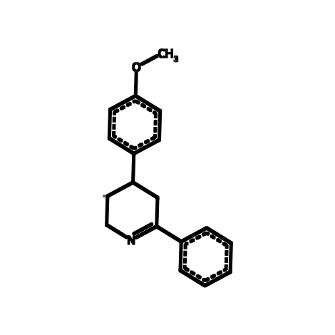 COc1ccc(C2[CH]CN=C(c3ccccc3)C2)cc1